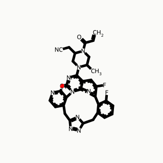 C=CC(=O)N1CC(C)N(c2nc(=O)n3c4nc(c(F)cc24)-c2c(F)cccc2CC2N=NC(=N2)Cc2ccnc(C(C)C)c2-3)CC1CC#N